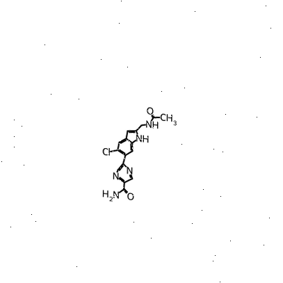 CC(=O)NCc1cc2cc(Cl)c(-c3cnc(C(N)=O)cn3)cc2[nH]1